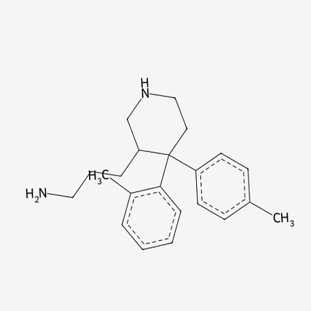 Cc1ccc(C2(c3ccccc3C)CCNCC2CCCN)cc1